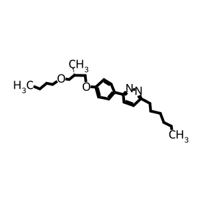 CCCCCCc1ccc(-c2ccc(OC[C@@H](C)COCCCC)cc2)nn1